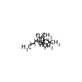 CCCCNC(=O)N(C)[C@H](CC(C)C)C(C)=O